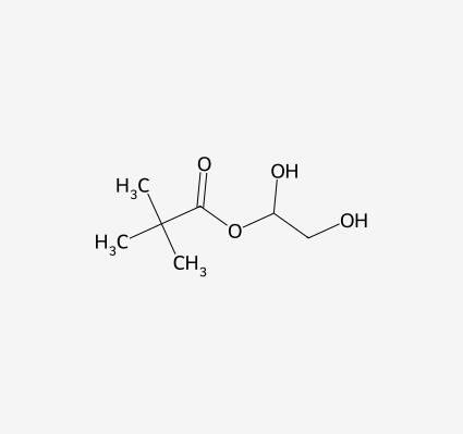 CC(C)(C)C(=O)OC(O)CO